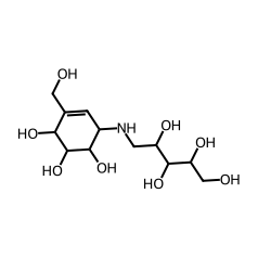 OCC1=CC(NCC(O)C(O)C(O)CO)C(O)C(O)C1O